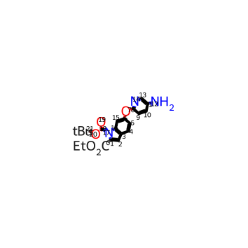 CCOC(=O)c1cc2ccc(Oc3ccc(N)cn3)cc2n1C(=O)OC(C)(C)C